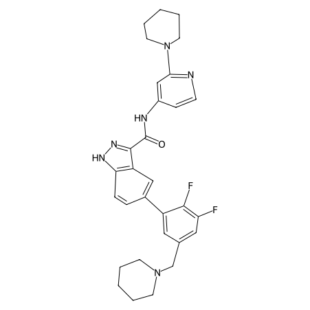 O=C(Nc1ccnc(N2CCCCC2)c1)c1n[nH]c2ccc(-c3cc(CN4CCCCC4)cc(F)c3F)cc12